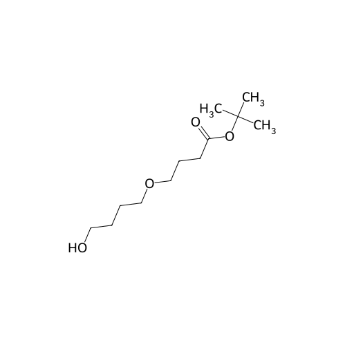 CC(C)(C)OC(=O)CCCOCCCCO